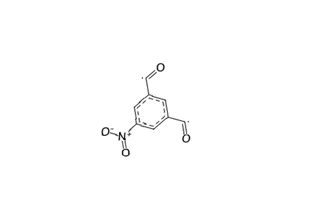 O=[C]c1cc([C]=O)cc([N+](=O)[O-])c1